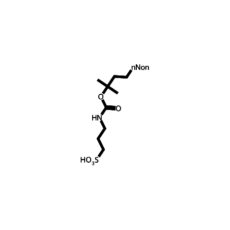 CCCCCCCCCCCC(C)(C)OC(=O)NCCCS(=O)(=O)O